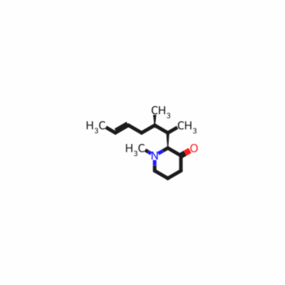 C/C=C/C[C@@H](C)C(C)[C@H]1C(=O)CCCN1C